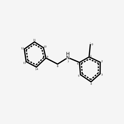 [CH2]c1ccccc1NCc1ccccc1